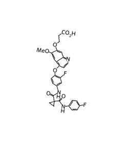 COc1cc2c(Oc3ccc(NC(=O)C4(C(=O)Nc5ccc(F)cc5)CC4)cc3F)ccnc2cc1OCCC(=O)O